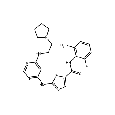 Cc1cccc(Cl)c1NC(=O)c1cnc(Nc2cc(NCCN3CCCC3)ncn2)s1